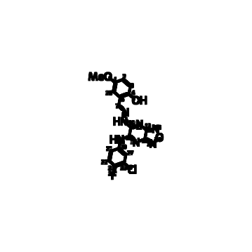 COc1ccc(O)c(C=NNc2nc3nonc3nc2Nc2ccc(F)c(Cl)c2)c1